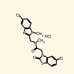 CN(Cc1nc2cc(Cl)ccc2n1C)C(=O)Cn1c(=O)sc2ccc(Cl)cc21.Cl